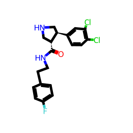 O=C(NCCc1ccc(F)cc1)[C@@H]1CNC[C@H]1c1ccc(Cl)c(Cl)c1